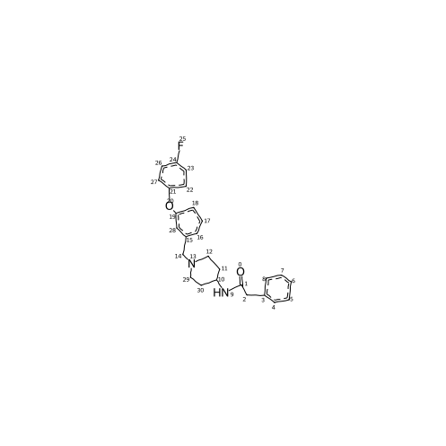 O=C(Cc1ccccc1)NC1CCN(Cc2cccc(Oc3ccc(F)cc3)c2)CC1